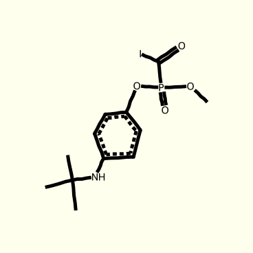 COP(=O)(Oc1ccc(NC(C)(C)C)cc1)C(=O)I